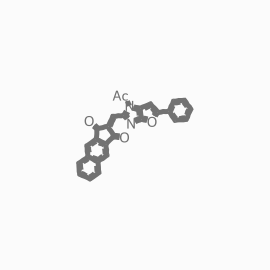 CC(=O)n1c(C=C2C(=O)c3cc4ccccc4cc3C2=O)nc2oc(-c3ccccc3)cc21